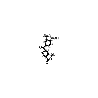 O=C(c1ccc2c(c1)C(=O)OC2=O)c1ccc2c(c1)C(=O)OC2O